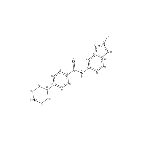 Cn1cc2cc(NC(=O)c3ccc(C4CCNCC4)cc3)ccc2n1